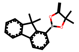 C=C1OB(c2cccc3c2C(C)(C)c2ccccc2-3)OC1(C)C